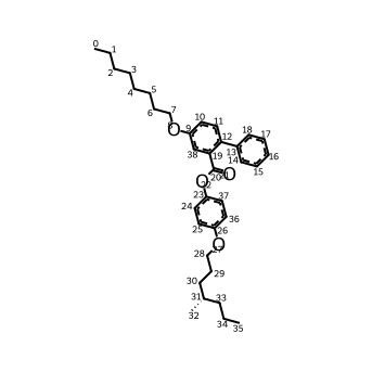 CCCCCCCCOc1ccc(-c2ccccc2)c(C(=O)Oc2ccc(OCCC[C@@H](C)CCC)cc2)c1